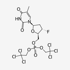 Cc1cn([C@H]2C[C@H](F)[C@@H](COP(=O)(OCC(Cl)(Cl)Cl)OCC(Cl)(Cl)Cl)O2)c(=O)[nH]c1=O